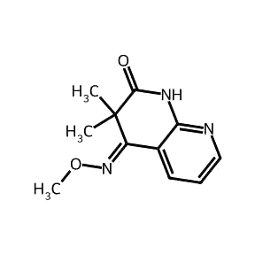 CON=C1c2cccnc2NC(=O)C1(C)C